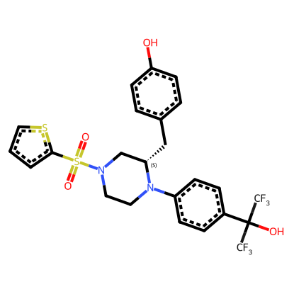 O=S(=O)(c1cccs1)N1CCN(c2ccc(C(O)(C(F)(F)F)C(F)(F)F)cc2)[C@@H](Cc2ccc(O)cc2)C1